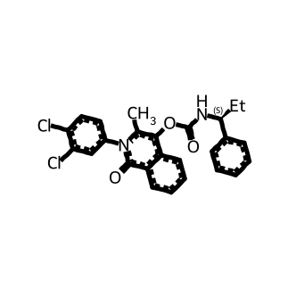 CC[C@H](NC(=O)Oc1c(C)n(-c2ccc(Cl)c(Cl)c2)c(=O)c2ccccc12)c1ccccc1